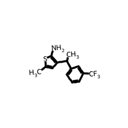 Cc1cc(C(C)c2cccc(C(F)(F)F)c2)c(N)s1